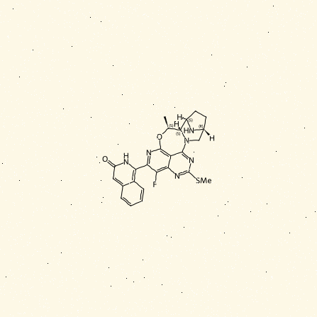 CSc1nc2c3c(nc(-c4[nH]c(=O)cc5ccccc45)c(F)c3n1)O[C@@H](C)[C@@H]1[C@@H]3CC[C@H](CN21)N3